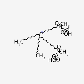 CCCCCCCCC(/C=C/CCCCCCC(=O)N(C)CCS(=O)(=O)O)C(CCCCCCCC)CCCCCCCCC(=O)N(C)CCS(=O)(=O)O